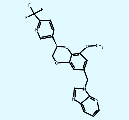 COc1cc(Cn2cnc3cccnc32)cc2c1O[C@H](c1ccc(C(F)(F)F)nc1)CO2